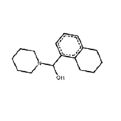 OC(c1cccc2c1CCCC2)N1CCCCC1